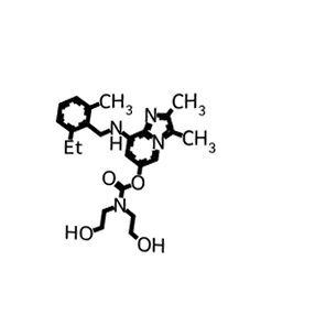 CCc1cccc(C)c1CNc1cc(OC(=O)N(CCO)CCO)cn2c(C)c(C)nc12